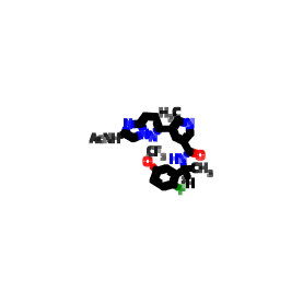 [2H]C(C)(NC(=O)c1cnc(C)c(-c2ccc3nc(NC(C)=O)cn3n2)c1)c1cc(OC(F)(F)F)ccc1F